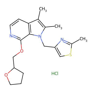 Cc1nc(Cn2c(C)c(C)c3ccnc(OCC4CCCO4)c32)cs1.Cl